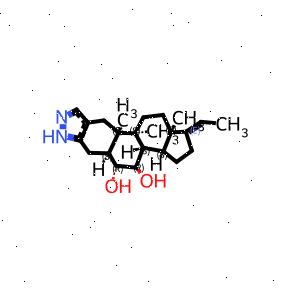 C/C=C1\CC[C@H]2[C@@H]3[C@@H](O)[C@H](O)[C@H]4Cc5[nH]ncc5C[C@]4(C)[C@@]3(C)CC[C@]12C